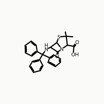 CC1(C)SC2C(NC(c3ccccc3)(c3ccccc3)c3ccccc3)C(=O)N2C1C(=O)O